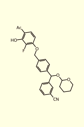 CC(=O)c1ccc(OCc2ccc(C(OC3CCCCO3)c3cccc(C#N)c3)cc2)c(F)c1O